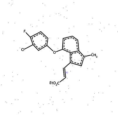 CCOC(=O)/C=C/c1cn(C)c2cccc(Oc3ccc(F)c(Cl)c3)c12